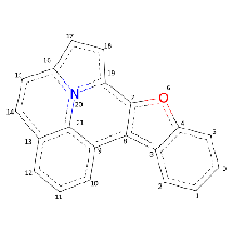 c1ccc2c(c1)oc1c2c2cccc3ccc4ccc1n4c32